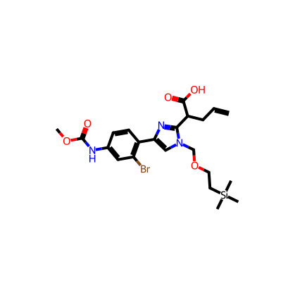 C=CCC(C(=O)O)c1nc(-c2ccc(NC(=O)OC)cc2Br)cn1COCC[Si](C)(C)C